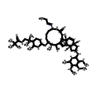 CC/C=C/[C@H]1CCC[C@H](OC2CCC([N+](C)(C)COC(=O)C(C)(C)C)C(C)O2)[C@@H](C)C(O)C2=C[C@@H]3[C@@H](C=C[C@@H]4C[C@@H](OC5OC(C)C(OC)C(OC)C5OC)C[C@@H]34)[C@@H]2CC(=O)O1